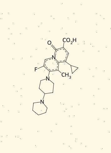 Cc1c(N2CCC(N3CCCCC3)CC2)c(F)cn2c(=O)c(C(=O)O)cc(C3CC3)c12